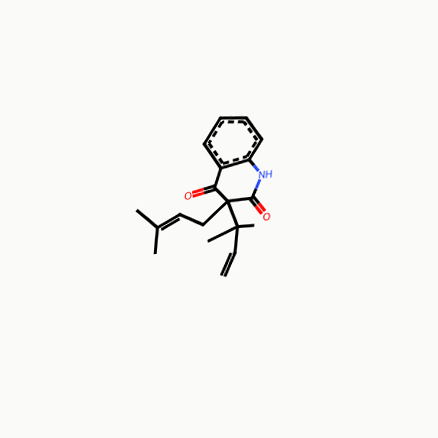 C=CC(C)(C)C1(CC=C(C)C)C(=O)Nc2ccccc2C1=O